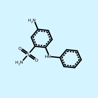 Nc1ccc(Nc2ccccc2)c(S(N)(=O)=O)c1